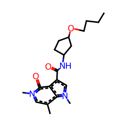 CCCCOC1CCC(NC(=O)c2cn(C)c3c(C)cn(C)c(=O)c23)C1